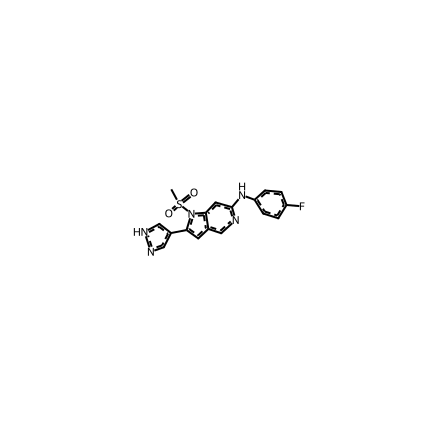 CS(=O)(=O)n1c(-c2cn[nH]c2)cc2cnc(Nc3ccc(F)cc3)cc21